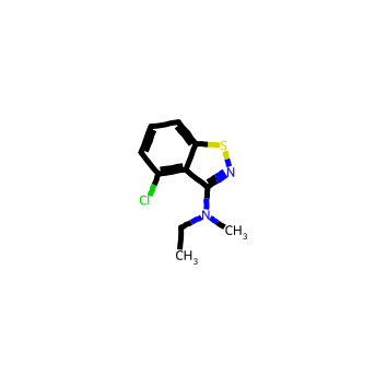 CCN(C)c1nsc2cccc(Cl)c12